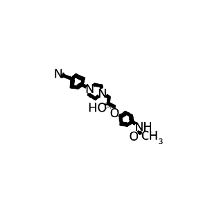 CC(=O)Nc1ccc(OC[C@@H](O)CN2CCN(c3ccc(C#N)cc3)CC2)cc1